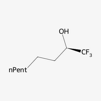 CCCCCCC[C@@H](O)C(F)(F)F